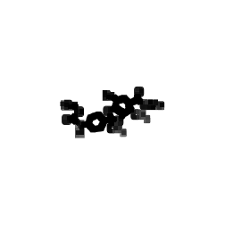 COC(=O)c1cc(Br)c2c(c1C)OC(C)(C1CCC(NC(=O)OC(C)(C)C)CC1)O2